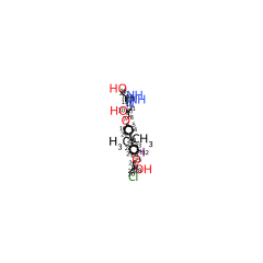 CC(C)(c1ccc(OC[C@H](O)CN2C=C(CO)NN2)cc1)c1ccc(OC[C@@H](O)CCl)c(I)c1